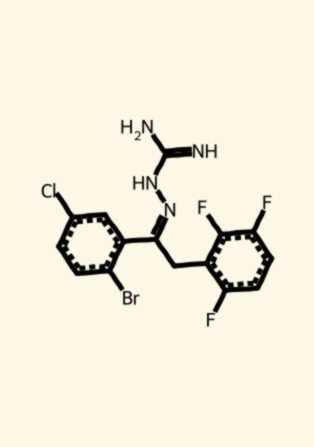 N=C(N)NN=C(Cc1c(F)ccc(F)c1F)c1cc(Cl)ccc1Br